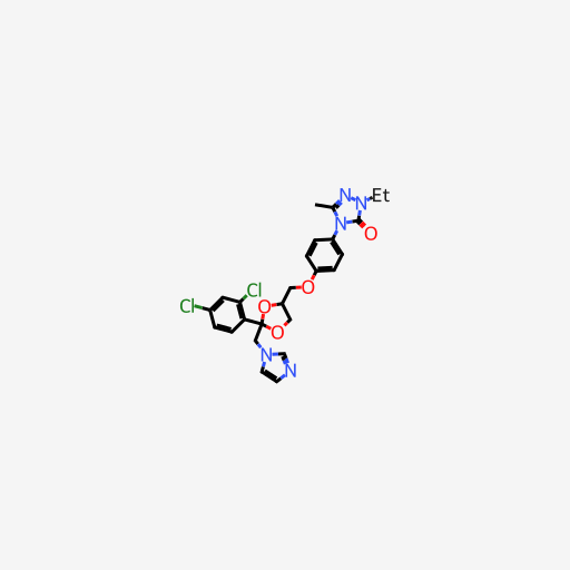 CCn1nc(C)n(-c2ccc(OCC3COC(Cn4ccnc4)(c4ccc(Cl)cc4Cl)O3)cc2)c1=O